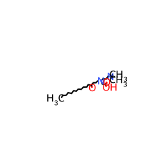 CCCCCCCCCCCCC(=O)CCCN(CCCN(C)C)CC(=O)O